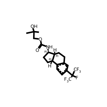 CC(C)(O)COC(=O)N[C@@H]1CC[C@H]2c3ccc(C(F)(C(F)(F)F)C(F)(F)F)cc3CC[C@@H]12